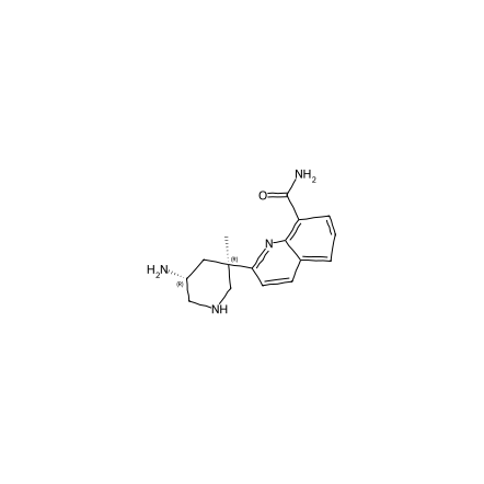 C[C@]1(c2ccc3cccc(C(N)=O)c3n2)CNC[C@H](N)C1